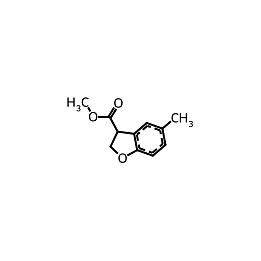 COC(=O)C1COc2ccc(C)cc21